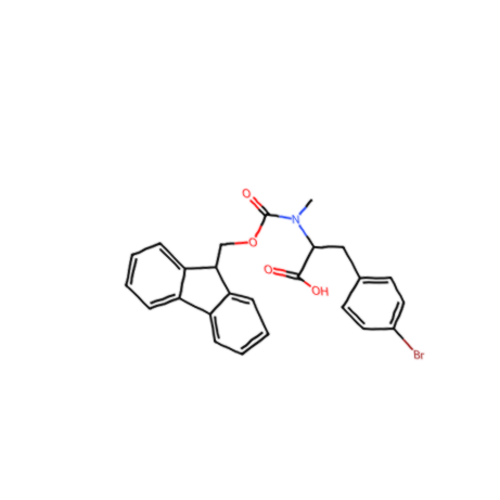 CN(C(=O)OCC1c2ccccc2-c2ccccc21)C(Cc1ccc(Br)cc1)C(=O)O